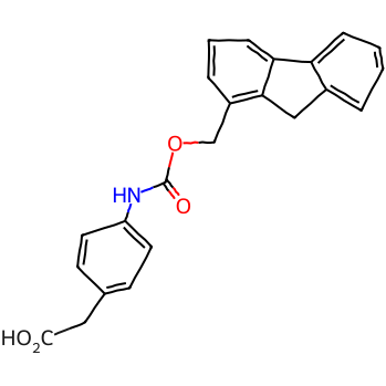 O=C(O)Cc1ccc(NC(=O)OCc2cccc3c2Cc2ccccc2-3)cc1